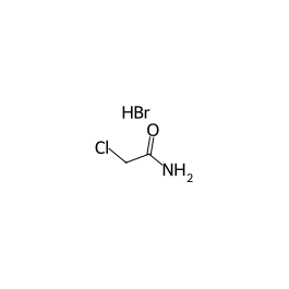 Br.NC(=O)CCl